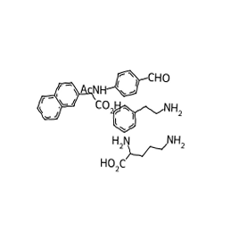 CC(=O)Nc1ccc(C=O)cc1.NCCCC(N)C(=O)O.NCCc1ccccc1.O=C(O)Cc1ccc2ccccc2c1